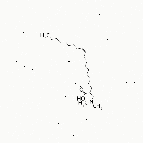 CCCCCCCC/C=C\CCCCCCCCC(CN(C)C)C(=O)O